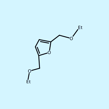 CCOCc1ccc(COCC)o1